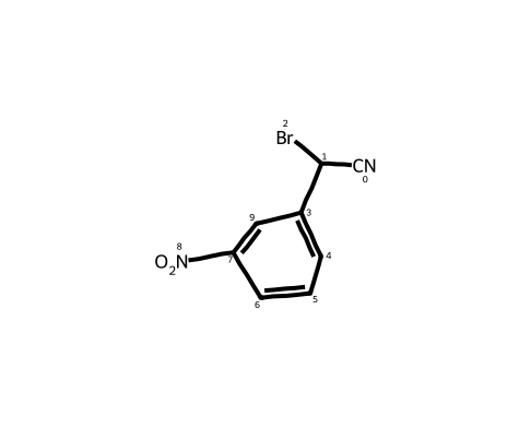 N#CC(Br)c1cccc([N+](=O)[O-])c1